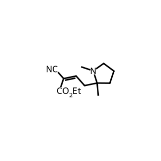 CCOC(=O)/C(C#N)=C\CC1(C)CCCN1C